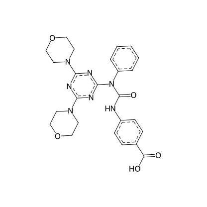 O=C(O)c1ccc(NC(=O)N(c2ccccc2)c2nc(N3CCOCC3)nc(N3CCOCC3)n2)cc1